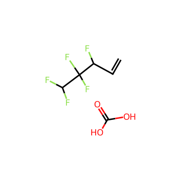 C=CC(F)C(F)(F)C(F)F.O=C(O)O